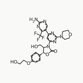 Nc1ncc(-c2cc(N3C(=O)O[C@@H](c4ccc(OCCO)cc4)C3CO)nc(N3CCOCC3)n2)c(C(F)(F)F)n1